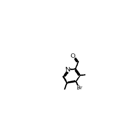 Cc1cnc(C=O)c(C)c1Br